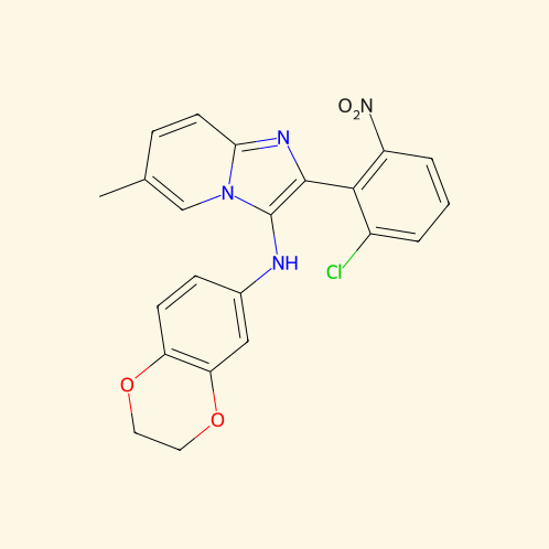 Cc1ccc2nc(-c3c(Cl)cccc3[N+](=O)[O-])c(Nc3ccc4c(c3)OCCO4)n2c1